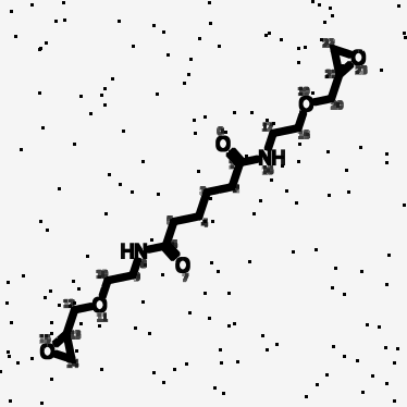 O=C(CCCCC(=O)NCCOCC1CO1)NCCOCC1CO1